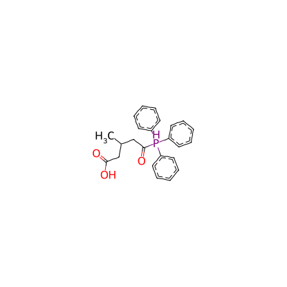 CC(CC(=O)O)CC(=O)[PH](c1ccccc1)(c1ccccc1)c1ccccc1